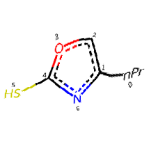 CCCc1coc(S)n1